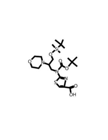 CC(C)(C)OC(=O)N(CC(CO[Si](C)(C)C(C)(C)C)N1CCOCC1)c1nc(C(=O)O)cs1